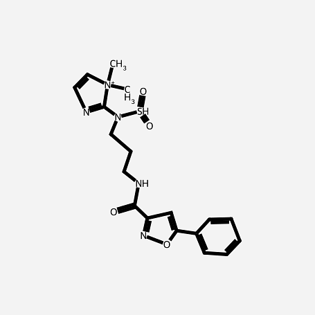 C[N+]1(C)C=CN=C1N(CCCNC(=O)c1cc(-c2ccccc2)on1)[SH](=O)=O